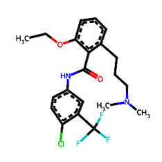 CCOc1cccc(CCCN(C)C)c1C(=O)Nc1ccc(Cl)c(C(F)(F)F)c1